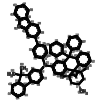 C[C@@H]1C[C@H]2CCC[C@@H](C1)C21c2ccccc2C(c2ccccc2)(c2ccccc2)c2cc(N(c3ccc(-c4ccc5c(c4)oc4ccccc45)cc3)c3ccc4c(c3)C(C)(C)c3ccccc3-4)ccc21